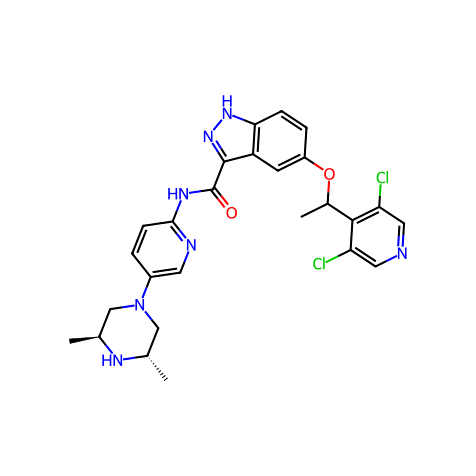 CC(Oc1ccc2[nH]nc(C(=O)Nc3ccc(N4C[C@H](C)N[C@@H](C)C4)cn3)c2c1)c1c(Cl)cncc1Cl